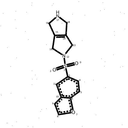 O=S(=O)(c1ccc2occc2c1)N1CC2=C(CNC2)C1